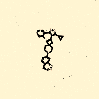 Clc1cnccc1-c1noc(C2CC2)c1C1=CC2(CCN(c3ccc4ccnnc4c3)CC2)C1